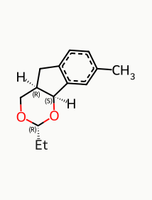 CC[C@@H]1OC[C@H]2Cc3ccc(C)cc3[C@H]2O1